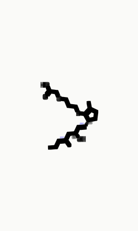 CC/C=C(\C)C[C@H](O)/C=C/[C@H]1CCC(C)=C1SCCCOCC(=O)O